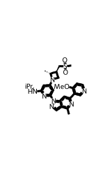 COc1ccncc1-c1cc2c(cnn2-c2cc(N3C[C@H](CS(C)(=O)=O)[C@H]3C)cc(NC(C)C)n2)c(C)n1